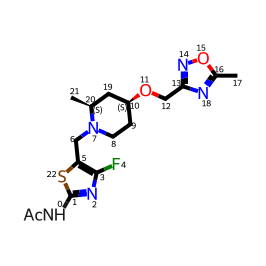 CC(=O)Nc1nc(F)c(CN2CC[C@H](OCc3noc(C)n3)C[C@@H]2C)s1